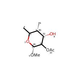 CO[C@@H]1OC(C)[C@H](C)[C@H](O)C1OC(C)=O